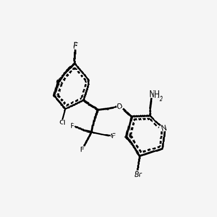 Nc1ncc(Br)cc1OC(c1cc(F)ccc1Cl)C(F)(F)F